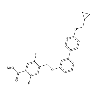 COC(=O)c1cc(F)c(COc2cccc(-c3ccc(OCC4CC4)nc3)c2)cc1F